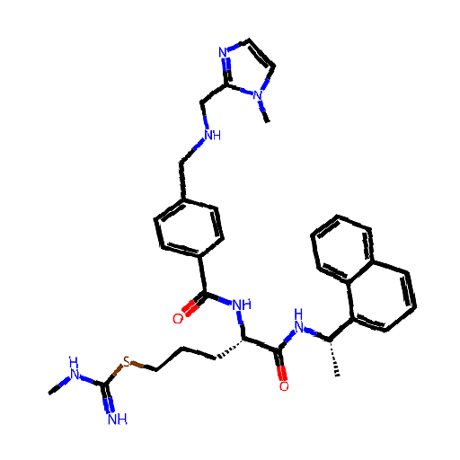 CNC(=N)SCCC[C@H](NC(=O)c1ccc(CNCc2nccn2C)cc1)C(=O)N[C@@H](C)c1cccc2ccccc12